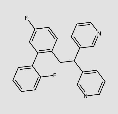 Fc1ccc(CC(c2cccnc2)c2cccnc2)c(-c2ccccc2F)c1